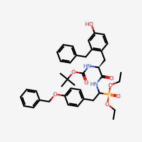 CCOP(=O)(OCC)C(Cc1ccc(OCc2ccccc2)cc1)NC(=O)[C@H](Cc1ccc(O)cc1Cc1ccccc1)NC(=O)OC(C)(C)C